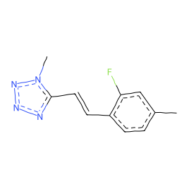 Cc1ccc(C=Cc2nnnn2C)c(F)c1